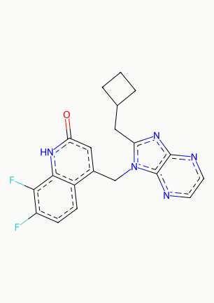 O=c1cc(Cn2c(CC3CCC3)nc3nccnc32)c2ccc(F)c(F)c2[nH]1